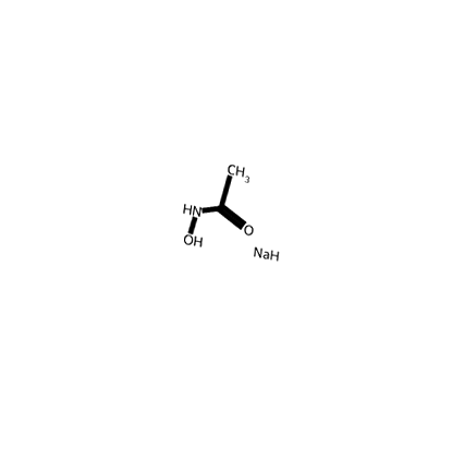 CC(=O)NO.[NaH]